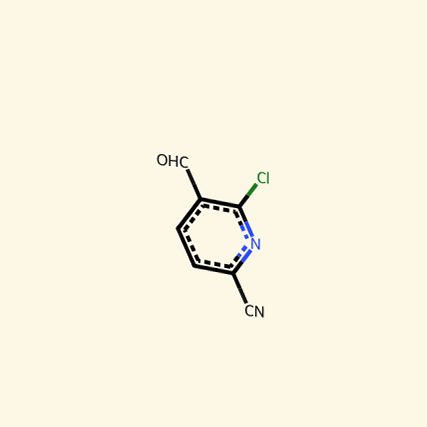 N#Cc1ccc(C=O)c(Cl)n1